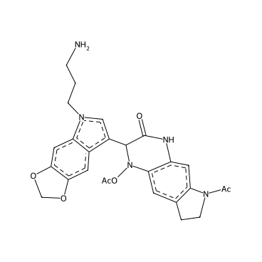 CC(=O)ON1c2cc3c(cc2NC(=O)C1c1cn(CCCN)c2cc4c(cc12)OCO4)N(C(C)=O)CC3